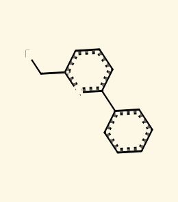 FCc1cccc(-c2ccccc2)n1